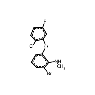 CNc1c(Br)cccc1Oc1cc(F)ccc1Cl